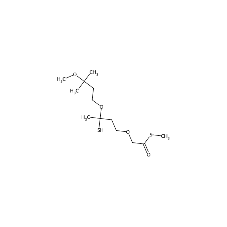 COC(C)(C)CCOC(C)(S)CCOCC(=O)SC